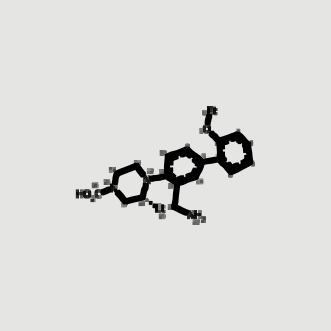 CCOc1ccccc1-c1ccc(N2CCN(C(=O)O)C[C@H]2CC)c(CN)c1